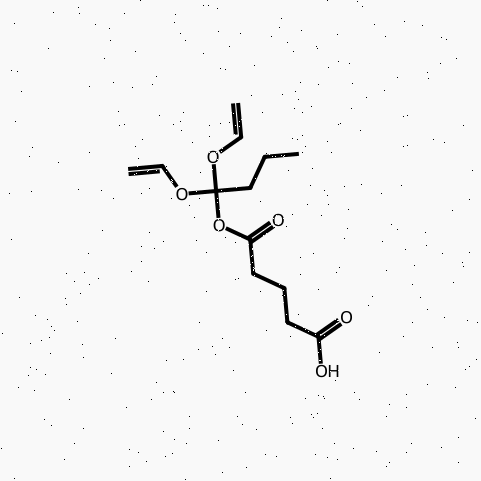 C=COC(CCC)(OC=C)OC(=O)CCCC(=O)O